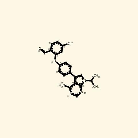 CC(C)n1cc(-c2ccc(Oc3cc(Cl)ccc3C=O)cc2)c2c(N)ncnc21